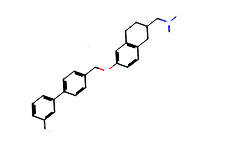 COc1cccc(-c2ccc(COc3ccc4c(c3)CCC(CN(C)C)C4)cc2)c1.Cl